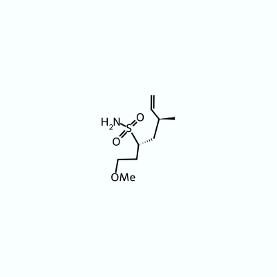 C=C[C@@H](C)C[C@H](CCOC)S(N)(=O)=O